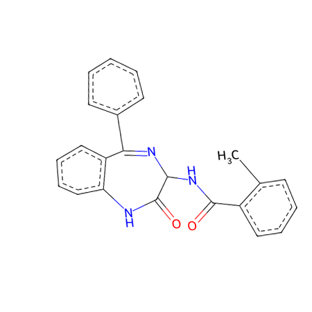 Cc1ccccc1C(=O)NC1N=C(c2ccccc2)c2ccccc2NC1=O